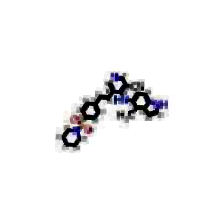 Cc1c(Nc2c(C#N)cncc2C=Cc2ccc(S(=O)(=O)N3CCCCC3)cc2)ccc2[nH]ccc12